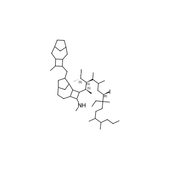 CCCC(C)C(C)CCC(C)(CC)[C@H](I)CC(C)C(C)[C@H]([C@H](C)I)[C@@H](C)C1C(NC)C2CCC3CC(CC4C(C)C5CC6CCC(C6)CC54)C(C3)C21